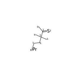 CC(=S)C(C)(C)CCC(C)C